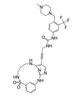 CN1CCN(Cc2ccc(NC(=O)NCC#Cc3cnc4nc3NCCCNS(=O)(=O)c3cccc(c3)N4)cc2C(F)(F)F)CC1